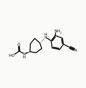 N#Cc1ccc(N[C@H]2CC[C@H](NC(=O)O)CC2)c(N)c1